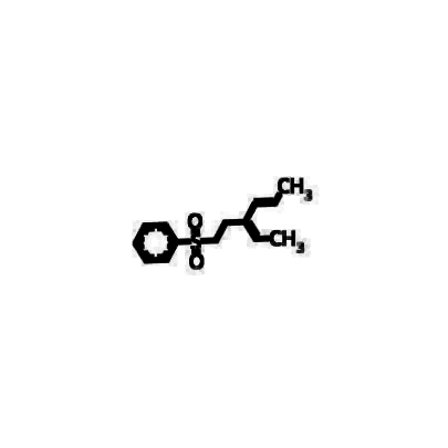 CC=CC(=CC)CCS(=O)(=O)c1ccccc1